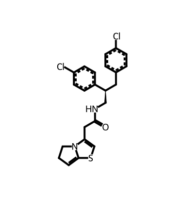 O=C(CC1=CSC2=CCCN12)NC[C@H](Cc1ccc(Cl)cc1)c1ccc(Cl)cc1